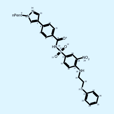 CCCCCn1cc(-c2ccc(C(=O)NS(=O)(=O)c3ccc(NCCSc4ccccc4)c([N+](=O)[O-])c3)cc2)cn1